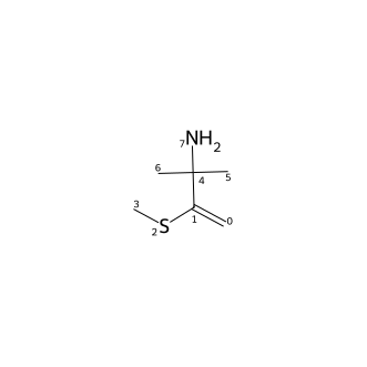 C=C(SC)C(C)(C)N